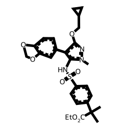 CCOC(=O)C(C)(C)c1ccc(S(=O)(=O)Nc2c(-c3ccc4c(c3)OCO4)c(OCC3CC3)nn2C)cc1